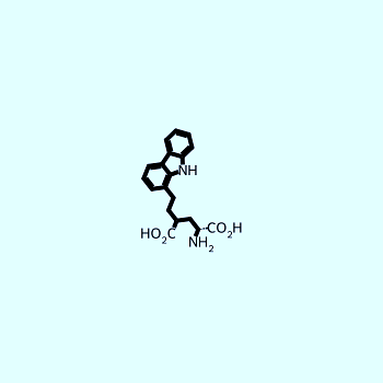 N[C@H](CC(CCc1cccc2c1[nH]c1ccccc12)C(=O)O)C(=O)O